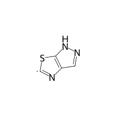 [c]1nc2cn[nH]c2s1